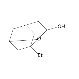 CCC12CC3CC(CC(O)(C3)O1)C2